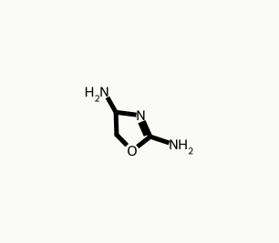 NC1=NC(N)CO1